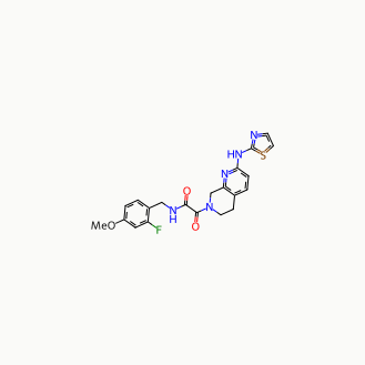 COc1ccc(CNC(=O)C(=O)N2CCc3ccc(Nc4nccs4)nc3C2)c(F)c1